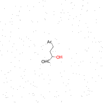 CC(=O)CCC(O)C=O